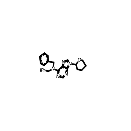 CC(C)CN(Cc1ccccc1)c1ncnc2c1ncn2C1CCCCO1